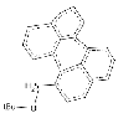 CC(C)(C)O[SiH2]c1ccc2cccc3c4cccc5cccc(c1c23)c54